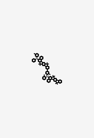 Cc1cccc(N(c2ccccc2)c2cc3c(c4ccccc24)-c2cc4c(cc2C3(C)C)-c2cc(-c3ccc(N(c5ccccc5C)c5cc6c(c7ccccc57)-c5cc7c(cc5C6(C)C)-c5ccccc5C7(C)C)c(C)c3)ccc2C4(C)C)c1